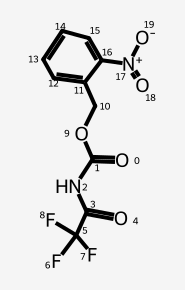 O=C(NC(=O)C(F)(F)F)OCc1ccccc1[N+](=O)[O-]